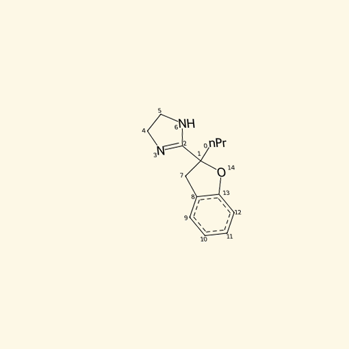 CCCC1(C2=NCCN2)Cc2ccccc2O1